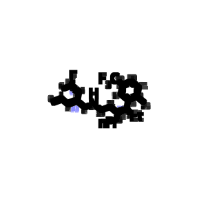 C=C/C=C(\C=C(/C)F)CNCC/C(CCC)=C(/CC)c1cc(C(F)(F)F)ccc1C